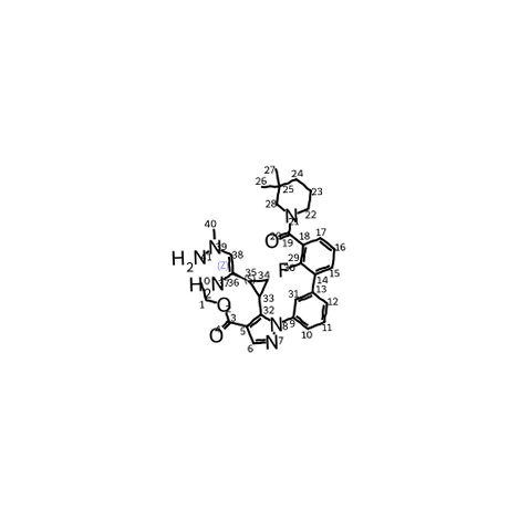 CCOC(=O)c1cnn(-c2cccc(-c3cccc(C(=O)N4CCCC(C)(C)C4)c3F)c2)c1C1C[C@@H]1/C(N)=C/N(C)N